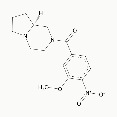 COc1cc(C(=O)N2CCN3CCC[C@H]3C2)ccc1[N+](=O)[O-]